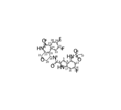 CN(C(=O)c1cc2c(NS(C)(=O)=O)cc(F)cc2[nH]1)C1COCc2[nH]c(=O)c3cc(F)c(F)cc3c21